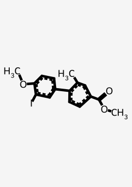 COC(=O)c1ccc(-c2ccc(OC)c(I)c2)c(C)c1